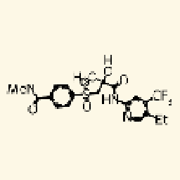 CCc1cnc(NC(=O)[C@@](C)(O)CS(=O)(=O)c2ccc(C(=O)NC)cc2)cc1C(F)(F)F